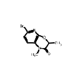 CC1Oc2nc(Br)ccc2N(C)C1=O